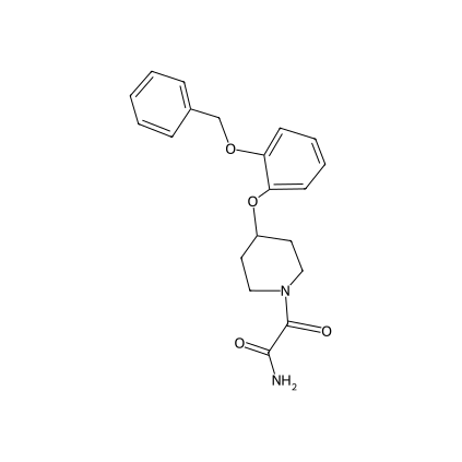 NC(=O)C(=O)N1CCC(Oc2ccccc2OCc2ccccc2)CC1